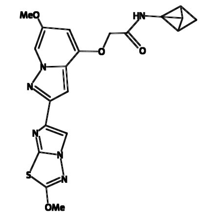 COc1cc(OCC(=O)NC2C3CC2C3)c2cc(-c3cn4nc(OC)sc4n3)nn2c1